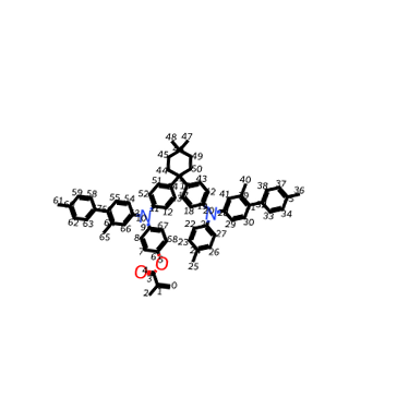 C=C(C)C(=O)Oc1ccc(N(c2ccc(C3(c4ccc(N(c5ccc(C)cc5)c5ccc(-c6ccc(C)cc6)c(C)c5)cc4)CCC(C)(C)CC3)cc2)c2ccc(-c3ccc(C)cc3)c(C)c2)cc1